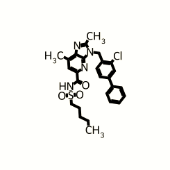 CCCCCS(=O)(=O)NC(=O)c1cc(C)c2nc(C)n(Cc3ccc(-c4ccccc4)cc3Cl)c2n1